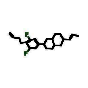 C=CCCc1c(F)cc(C2CCC3CC(/C=C/C)CCC3C2)cc1F